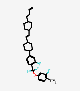 C=CCCC1CCC(/C=C/C2CCC(c3ccc(C(F)(F)Oc4ccc(C(F)(F)F)c(F)c4)c(F)c3)CC2)CC1